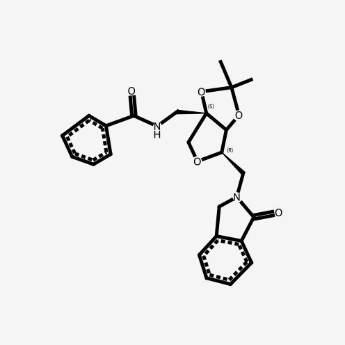 CC1(C)OC2[C@@H](CN3Cc4ccccc4C3=O)OC[C@]2(CNC(=O)c2ccccc2)O1